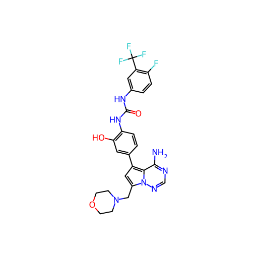 Nc1ncnn2c(CN3CCOCC3)cc(-c3ccc(NC(=O)Nc4ccc(F)c(C(F)(F)F)c4)c(O)c3)c12